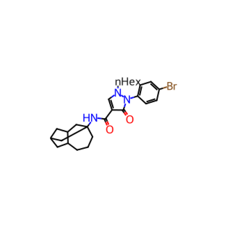 CCCCCCn1cc(C(=O)NC23CCCC4CC(CC4C2)C3)c(=O)n1-c1ccc(Br)cc1